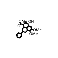 COC(=O)C1C=C(O)c2cc(OC)c(OC)c3c2C1CC(c1ccccc1)C3